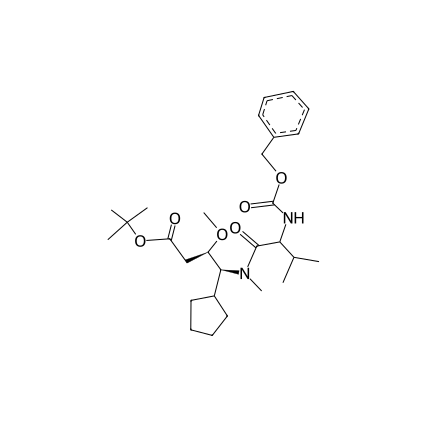 CO[C@H](CC(=O)OC(C)(C)C)[C@H](C1CCCC1)N(C)C(=O)C(NC(=O)OCc1ccccc1)C(C)C